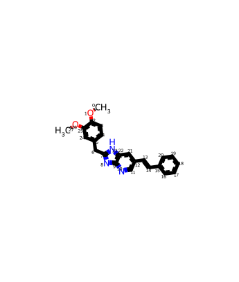 COc1ccc(Cc2nc3ncc(C=Cc4ccccc4)cc3[nH]2)cc1OC